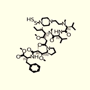 CC[C@H](C)[C@@H]([C@@H](CC(=O)N1CCC[C@H]1[C@H](OC)[C@@H](C)C(=O)N[C@@H](Cc1ccccc1)C(=O)OC)OC)N(C)C(=O)[C@@H](NC(=O)[C@H](C(C)C)N(C)CCN1CCN(SS)CC1)C(C)C